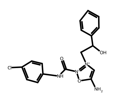 Nc1c[n+](CC(O)c2ccccc2)[n+](C(=O)Nc2ccc(Cl)cc2)o1